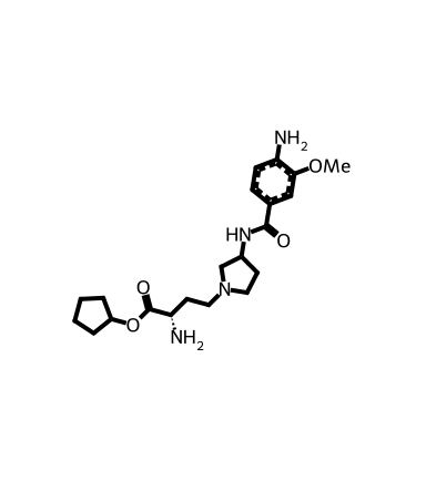 COc1cc(C(=O)NC2CCN(CC[C@H](N)C(=O)OC3CCCC3)C2)ccc1N